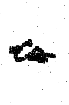 COc1ccc([C@@H]2O[C@H](CO)[C@@H](O)[C@H](O)[C@H]2O)cc1Cc1ccc(OCC2OC(C)c3ccc(OC[C@H]4O[C@@H](c5cccc(Cc6ccc(OCC7OCc8ccc(OC[C@H]9O[C@@H](c%10cccc(Cc%11ccc(OCC%12OC(C)c%13ccccc%13%12)cc%11)c%10)[C@H](O)[C@@H](O)[C@@H]9O)cc87)cc6)c5)[C@H](O)[C@@H](O)[C@@H]4O)cc32)cc1